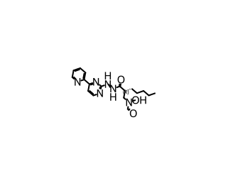 CCCCC[C@H](CN(O)C=O)C(=O)NNc1nccc(-c2ccccn2)n1